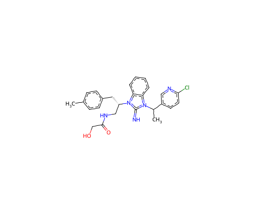 Cc1ccc(C[C@@H](CNC(=O)CO)n2c(=N)n(C(C)c3ccc(Cl)nc3)c3ccccc32)cc1